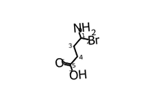 NC(Br)CCC(=O)O